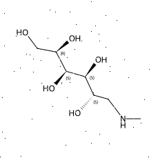 CNC[C@H](O)[C@H](O)[C@@H](O)[C@H](O)CO